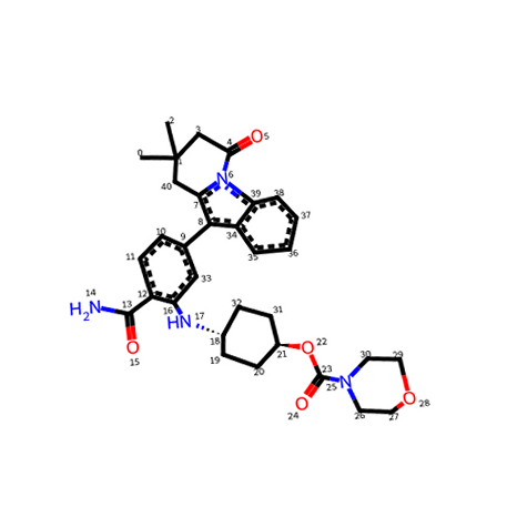 CC1(C)CC(=O)n2c(c(-c3ccc(C(N)=O)c(N[C@H]4CC[C@H](OC(=O)N5CCOCC5)CC4)c3)c3ccccc32)C1